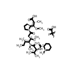 CC[C@H](C)[C@@H]([C@@H](CC(=O)N1CCC[C@H]1[C@H](OC)[C@@H](C)C(=O)O)OC)N(C)C(=O)[C@@H](NC(=O)[C@@H]1CCCCN1C)C(C)C.O=C(O)C(F)(F)F